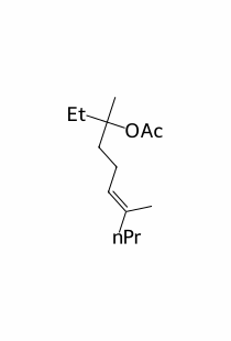 CCCC(C)=CCCC(C)(CC)OC(C)=O